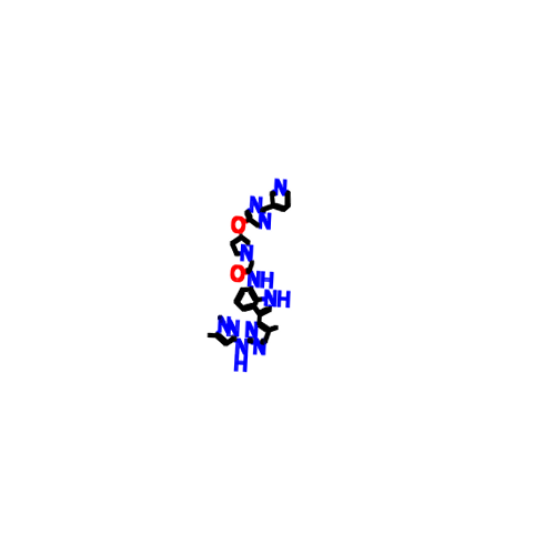 Cc1cnc(Nc2cc(C)n(C)n2)nc1-c1c[nH]c2c(NC(=O)CN3CC[C@H](Oc4cnc(-c5cccnc5)nc4)C3)cccc12